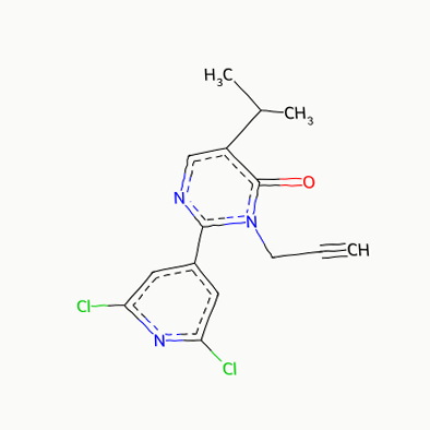 C#CCn1c(-c2cc(Cl)nc(Cl)c2)ncc(C(C)C)c1=O